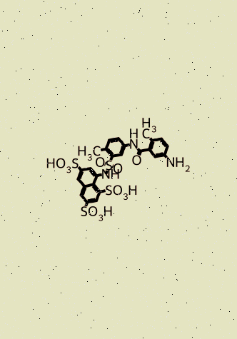 Cc1ccc(N)cc1C(=O)Nc1ccc(C)c(S(=O)(=O)Nc2cc(S(=O)(=O)O)cc3cc(S(=O)(=O)O)cc(S(=O)(=O)O)c23)c1